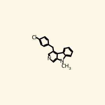 Cn1c2ccccc2c2c(Cc3ccc(Cl)cc3)cncc21